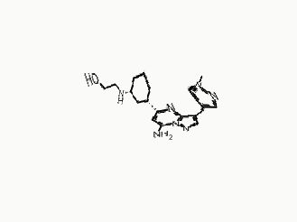 Cn1cc(-c2cnn3c(N)cc([C@H]4CCC[C@@H](NCCO)C4)nc23)cn1